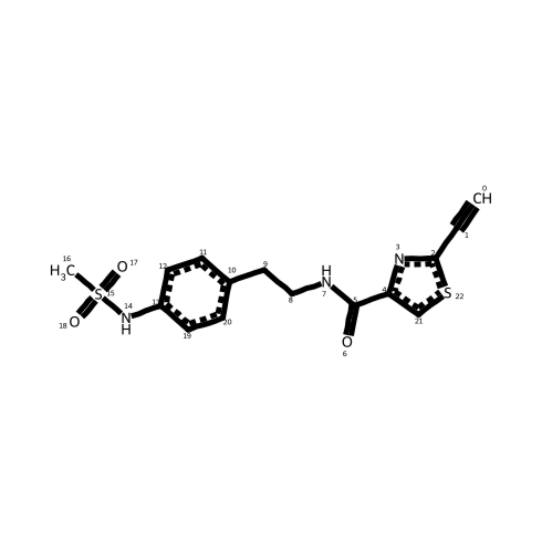 C#Cc1nc(C(=O)NCCc2ccc(NS(C)(=O)=O)cc2)cs1